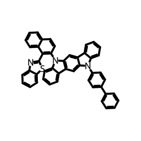 c1ccc(-c2ccc(-n3c4ccccc4c4cc5c(cc43)c3ccccc3n5-c3ccc4ccccc4c3-c3nc4ccccc4s3)cc2)cc1